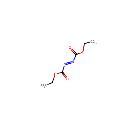 O=C(/N=N/C(=O)OCC(Cl)(Cl)Cl)OCC(Cl)(Cl)Cl